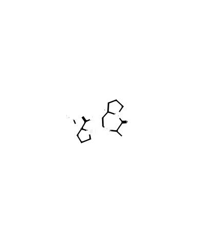 CC(=O)C(=O)[C@]1(CC#N)CCCN1.CC1NCC[C@H]2CCCN2C1=O